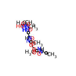 COc1cc2c(cc1OCCCOc1cc3c(cc1OC)C(=O)N1C=C(c4ccc(NC(=O)[C@H](C)NC(=O)[C@@H](NC(=O)O)C(C)C)cc4)C[C@H]1C=N3)N=C[C@@H]1CC(c3ccc(C)cc3)=CN1C2=O